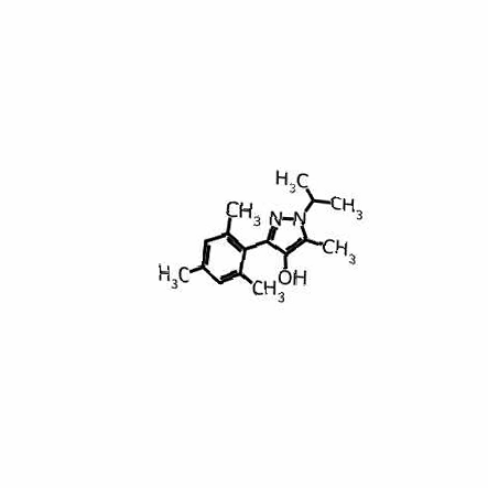 Cc1cc(C)c(-c2nn(C(C)C)c(C)c2O)c(C)c1